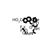 CN[C@@H](C)CN[C@H]1COc2ccccc2N(Cc2c(OC)ccc3cc(C(=O)O)ccc23)C1=O.O=C(O)C(F)(F)F